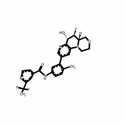 Cc1ccc(NC(=O)c2ccnc(C(C)(F)F)c2)cc1-c1cnc2c(c1)N1CCOC[C@H]1[C@H](F)[C@H]2O